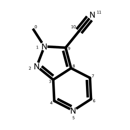 Cn1nc2cnccc2c1C#N